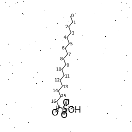 CCCCCCCCCCCCCCCCCC(=O)S(=O)(=O)O